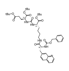 CC(C)(C)OC(=O)CC[C@H](NC(=O)N[C@@H](CCCCNC(=O)[C@@H](Cc1ccc2cccnc2c1)NC(=O)OCc1ccccc1)C(=O)OC(C)(C)C)C(=O)OC(C)(C)C